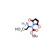 CC(C)(C)OC(=O)N([C@H](N)CC(=O)O)N1C(=O)C=CC1=O